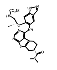 CCOC(=O)NC[C@@H](C)Oc1cc2[nH]ncc2cc1Nc1ncnc2sc3c(c12)CC[C@H](C(=O)N(C)C)C3